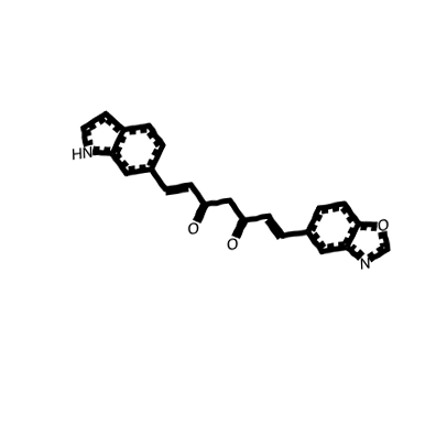 O=C(/C=C/c1ccc2ocnc2c1)CC(=O)/C=C/c1ccc2cc[nH]c2c1